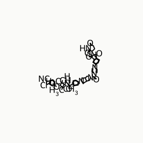 CC1(C)C(NC(=O)c2ccc(N3CC4CN(C(=O)N5CCN(c6ccc7c(c6)C(=O)N(C6CCC(=O)NC6=O)C7=O)CC5)CC4C3)cc2)C(C)(C)C1Oc1ccc(C#N)c(Cl)c1